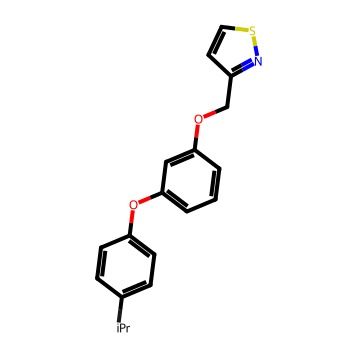 CC(C)c1ccc(Oc2cccc(OCc3ccsn3)c2)cc1